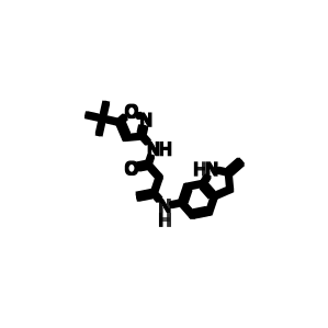 C=C(CC(=O)Nc1cc(C(C)(C)C)on1)Nc1ccc2c(c1)NC(=C)C2